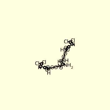 CN1Cc2c(Cl)cc(Cl)cc2C(c2ccc(S(=O)(=O)NCCOCCOCCNC(=O)c3cc(N)cc(C(=O)NCCOCCOCCNS(=O)(=O)c4ccc(C5CN(C)Cc6c(Cl)cc(Cl)cc65)cc4)c3)cc2)C1